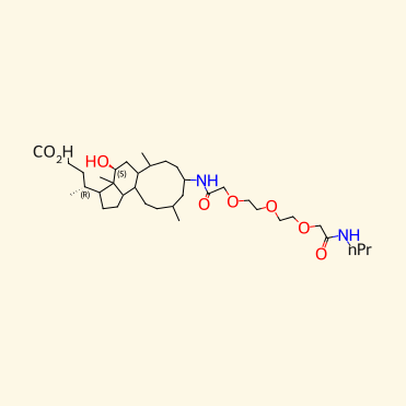 CCCNC(=O)COCCOCCOCC(=O)NC1CCC(C)C2C[C@H](O)C3(C)C(CCC3[C@H](C)CCC(=O)O)C2CCC(C)C1